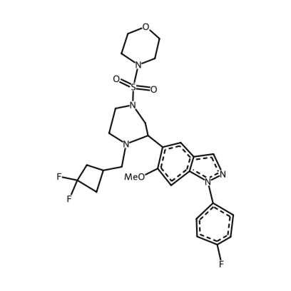 COc1cc2c(cnn2-c2ccc(F)cc2)cc1C1CN(S(=O)(=O)N2CCOCC2)CCN1CC1CC(F)(F)C1